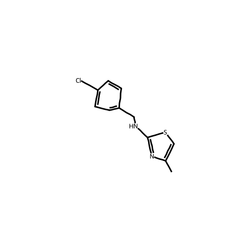 Cc1csc(NCc2ccc(Cl)cc2)n1